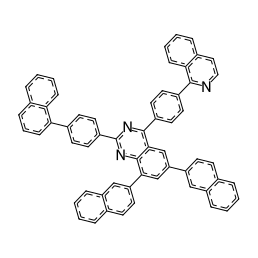 c1ccc2cc(-c3cc(-c4ccc5ccccc5c4)c4nc(-c5ccc(-c6cccc7ccccc67)cc5)nc(-c5ccc(-c6nccc7ccccc67)cc5)c4c3)ccc2c1